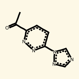 CC(=O)c1ccc(-n2cncn2)nn1